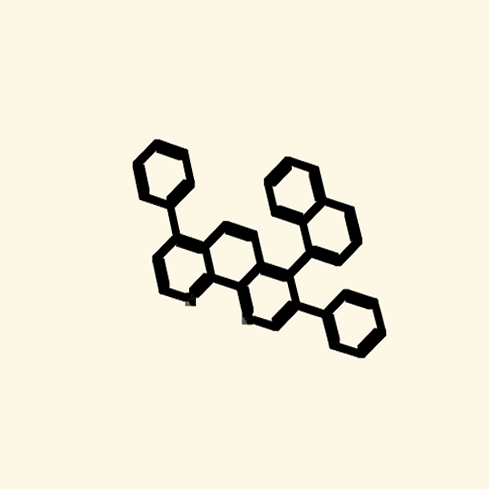 c1ccc(-c2cnc3c(ccc4c(-c5ccccc5)ccnc43)c2-c2cccc3ccccc23)cc1